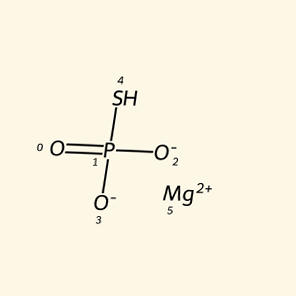 O=P([O-])([O-])S.[Mg+2]